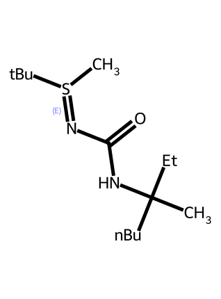 CCCCC(C)(CC)NC(=O)/N=S(\C)C(C)(C)C